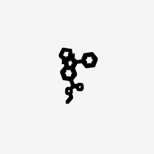 CCOC(=O)c1ccc2c(c1)c(-c1ccccc1)n1[n+]2CCC1